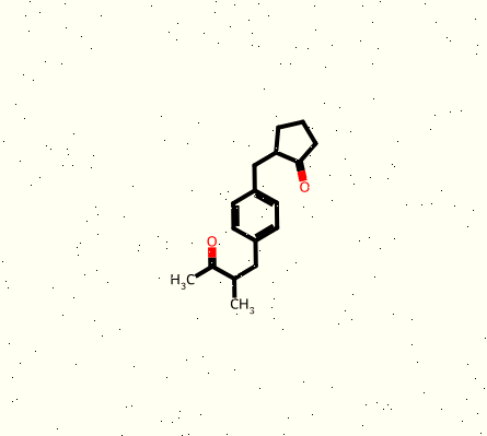 CC(=O)C(C)Cc1ccc(CC2CCCC2=O)cc1